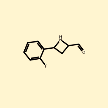 O=CC1CC(c2ccccc2F)N1